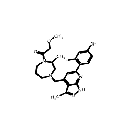 COCC(=O)N1CCCN(Cc2cc(-c3ccc(O)cc3F)nc3[nH]nc(C)c23)CC1C